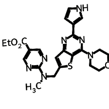 CCOC(=O)c1cnc(N(C)Cc2cc3nc(-c4cc[nH]c4)nc(N4CCOCC4)c3s2)nc1